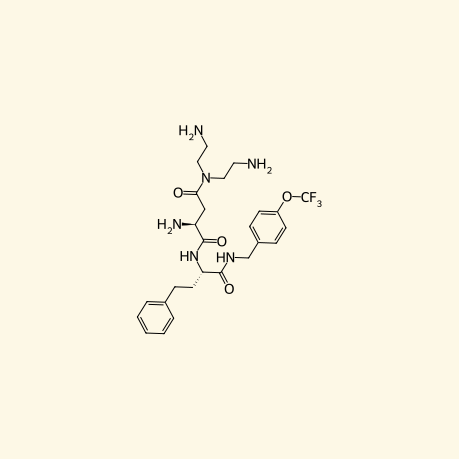 NCCN(CCN)C(=O)C[C@H](N)C(=O)N[C@@H](CCc1ccccc1)C(=O)NCc1ccc(OC(F)(F)F)cc1